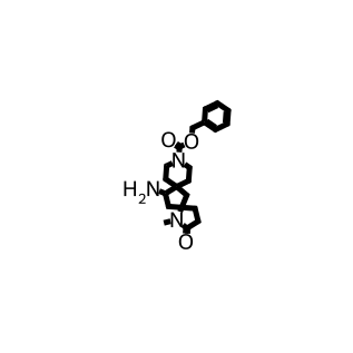 CN1C(=O)CCC12CC(N)C1(CCN(C(=O)OCc3ccccc3)CC1)C2